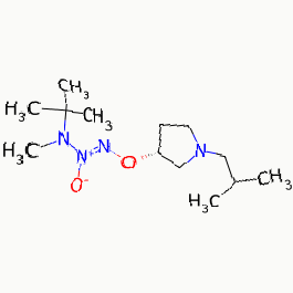 CC(C)CN1CC[C@@H](O/N=[N+](\[O-])N(C)C(C)(C)C)C1